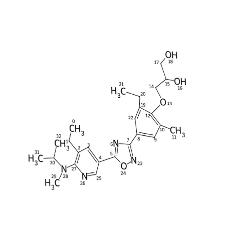 CCc1cc(-c2nc(-c3cc(C)c(OCC(O)CO)c(CC)c3)no2)cnc1N(C)C(C)C